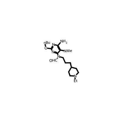 CCCCOc1nc(N)c(NC)c(N(C=O)CCCC2CCN(CC)CC2)n1